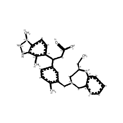 CC[C@@H]1CN(Cc2cc(C(CC(=O)O)c3ccc4c(c3C)NNN4C)ccc2C)Cc2ncccc2O1